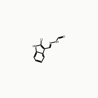 O=CN/N=C/c1c(Cl)[nH]c2ccccc12